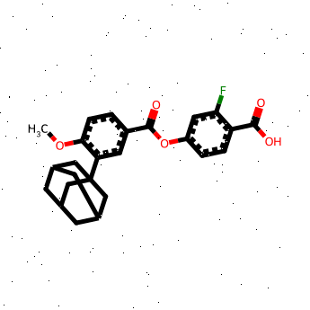 COc1ccc(C(=O)Oc2ccc(C(=O)O)c(F)c2)cc1C12CC3CC(CC(C3)C1)C2